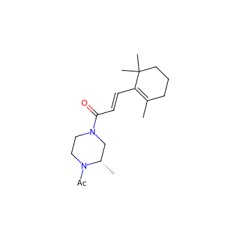 CC(=O)N1CCN(C(=O)/C=C/C2=C(C)CCCC2(C)C)C[C@@H]1C